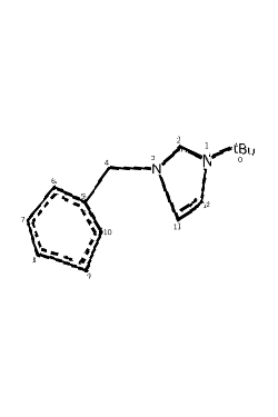 CC(C)(C)N1[C]N(Cc2ccccc2)C=C1